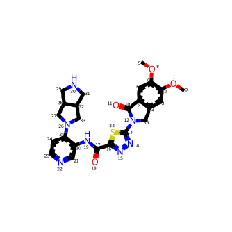 COc1cc2c(cc1OC)C(=O)N(c1nnc(C(=O)Nc3cnccc3N3CC4CNCC4C3)s1)C2